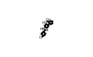 CC(O)c1ccccc1-c1ccc2[nH]c(-c3ccc(Cl)cc3)nc2c1